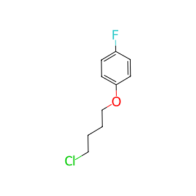 Fc1ccc(OCCCCCl)cc1